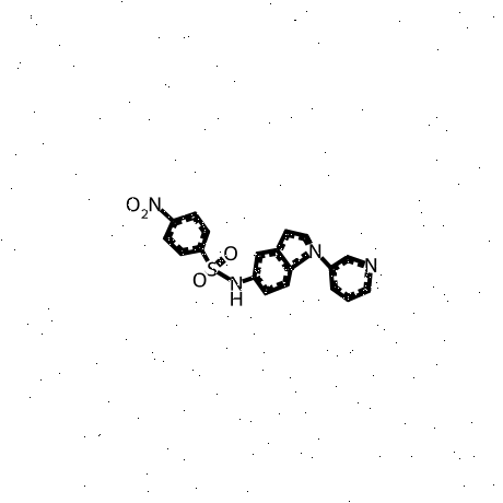 O=[N+]([O-])c1ccc(S(=O)(=O)Nc2ccc3c(ccn3-c3cccnc3)c2)cc1